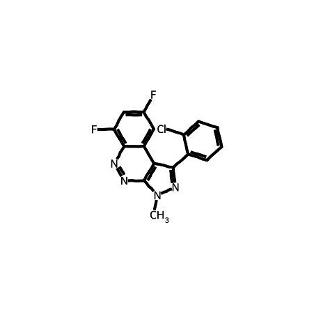 Cn1nc(-c2ccccc2Cl)c2c3cc(F)cc(F)c3nnc21